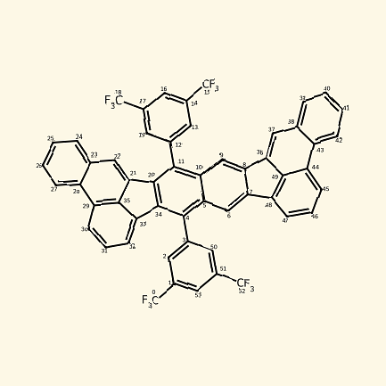 FC(F)(F)c1cc(-c2c3cc4c(cc3c(-c3cc(C(F)(F)F)cc(C(F)(F)F)c3)c3c5cc6ccccc6c6cccc(c23)c65)c2cc3ccccc3c3cccc4c32)cc(C(F)(F)F)c1